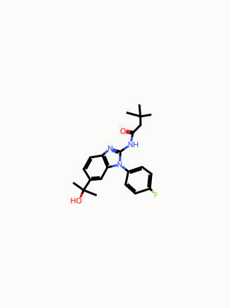 CC(C)(C)CC(=O)Nc1nc2ccc(C(C)(C)O)cc2n1-c1ccc(F)cc1